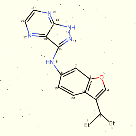 CCC(CC)c1coc2cc(Nc3n[nH]c4nccnc34)ccc12